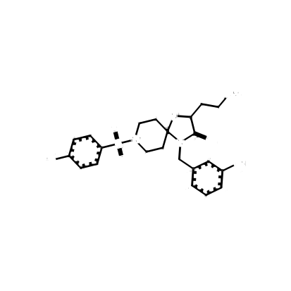 CSCCC1NC2(CCN(S(=O)(=O)c3ccc(C(C)=O)cc3)CC2)N(Cc2cccc(C#N)c2)C1=O